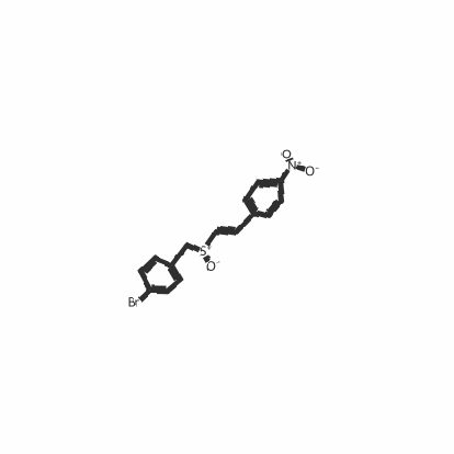 O=[N+]([O-])c1ccc(/C=C/[S+]([O-])Cc2ccc(Br)cc2)cc1